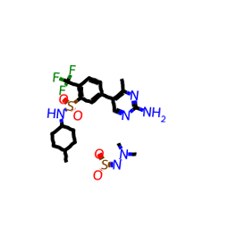 CN(C)N=S(=O)=O.Cc1nc(N)ncc1-c1ccc(C(F)(F)F)c(S(=O)(=O)NC2CCC(C)CC2)c1